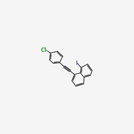 Clc1ccc(C#Cc2cccc3cccc(I)c23)cc1